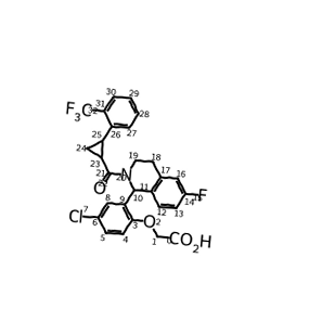 O=C(O)COc1ccc(Cl)cc1C1c2ccc(F)cc2CCN1C(=O)C1CC1c1ccccc1C(F)(F)F